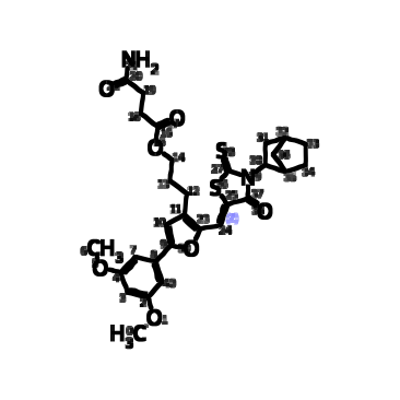 COc1cc(OC)cc(-c2cc(CCCOC(=O)CCC(N)=O)c(/C=C3\SC(=S)N(C4CC5CCC4C5)C3=O)o2)c1